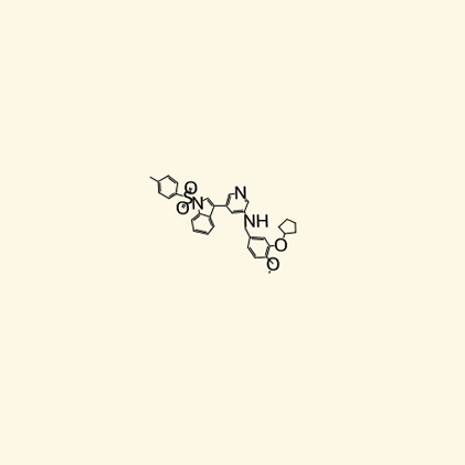 COc1ccc(CNc2cncc(-c3cn(S(=O)(=O)c4ccc(C)cc4)c4ccccc34)c2)cc1OC1CCCC1